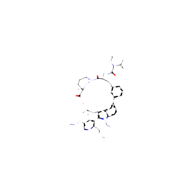 CCn1c(-c2cc(CNC)cnc2[C@H](C)OC)c2c3cc(ccc31)-c1cccc(c1)C[C@H](NC(=O)C(NC)C(C)C)C(=O)N1CCC[C@H](N1)C(=O)OCC(C)(C)C2